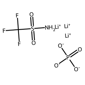 NS(=O)(=O)C(F)(F)F.O=P([O-])([O-])[O-].[Li+].[Li+].[Li+]